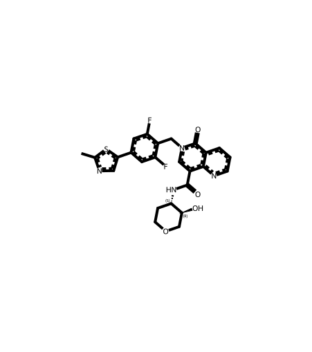 Cc1ncc(-c2cc(F)c(Cn3cc(C(=O)N[C@H]4CCOC[C@@H]4O)c4ncccc4c3=O)c(F)c2)s1